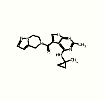 Cc1nc(NC2(C)CC2)c2c(C(=O)N3CCn4nccc4C3)coc2n1